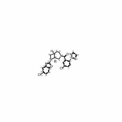 O=C(c1cc(Cl)ccc1-n1nccn1)N1CC[C@H]2CN(c3nc4cc(Cl)ccc4o3)[C@@H]2C1